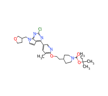 Cc1cc(-c2nc(Cl)nc3c2ccn3CC2CCOC2)cnc1OCCC1CCN(C(=O)OC(C)(C)C)CC1